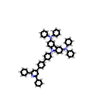 c1ccc(-c2cc(-c3ccc(-c4ccc(-n5c6ccc(N(c7ccccc7)c7ccccc7)cc6c6cc(N(c7ccccc7)c7ccccc7)ccc65)cc4)cc3)cc(-c3ccccc3)n2)cc1